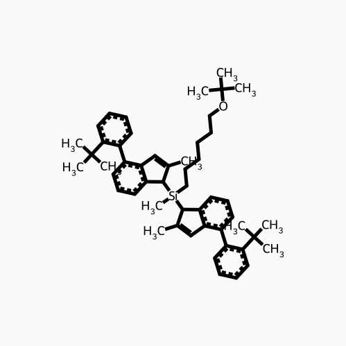 CC1=Cc2c(-c3ccccc3C(C)(C)C)cccc2C1[Si](C)(CCCCCCOC(C)(C)C)C1C(C)=Cc2c(-c3ccccc3C(C)(C)C)cccc21